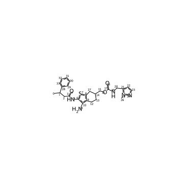 CC(CC(=O)Nc1sc2c(c1N)CCC(COC(=O)NCc1ccnn1C)C2)c1ccccc1